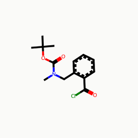 CN(Cc1ccccc1C(=O)Cl)C(=O)OC(C)(C)C